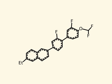 CCc1ccc2cc(-c3ccc(-c4ccc(OC(F)F)c(F)c4)c(F)c3)ccc2c1